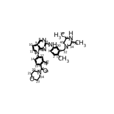 Cc1ccc(Nc2ncc3ccn(-c4ccc(C(=O)N5CCOCC5)c(F)c4)c3n2)cc1CN1CC(C)NC(C)C1